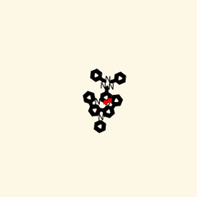 c1ccc(-c2nc(-c3ccccc3)nc(-c3cccc(-n4c5ccccc5c5ccc6c(c7c8oc9ccccc9c8ccc7n6-c6ccccc6)c54)c3)n2)cc1